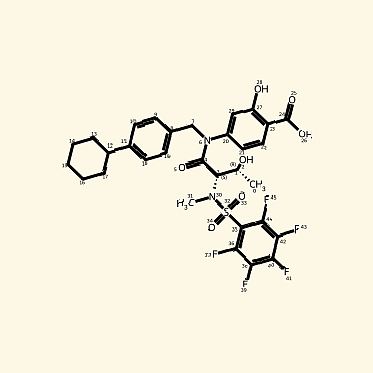 C[C@@H](O)[C@@H](C(=O)N(Cc1ccc(C2CCCCC2)cc1)c1ccc(C(=O)O)c(O)c1)N(C)S(=O)(=O)c1c(F)c(F)c(F)c(F)c1F